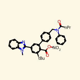 CCCC(=O)N(Cc1ccc(-c2cc(-c3nc4ccccc4n3C)cc(C(C)(C)C)c2C(=O)O[N+](=O)[O-])cc1)c1ccccc1